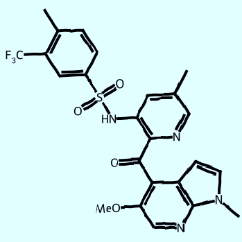 COc1cnc2c(ccn2C)c1C(=O)c1ncc(C)cc1NS(=O)(=O)c1ccc(C)c(C(F)(F)F)c1